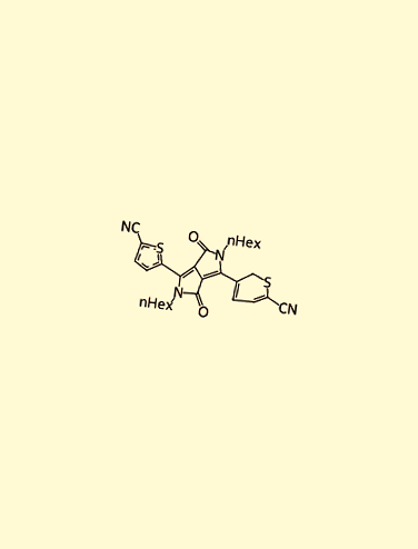 CCCCCCN1C(=O)C2=C(c3ccc(C#N)s3)N(CCCCCC)C(=O)C2=C1C1=CC=C(C#N)SC1